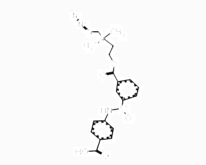 C[Si](C)(CCOC(=O)c1cccc([S+]([O-])Nc2ccc(C(=O)O)cc2)c1)CN=[N+]=[N-]